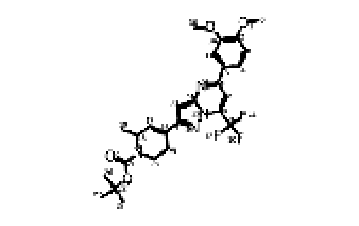 COc1ccc(-c2cc(C(F)(F)F)n3nc(C4=CC(C)N(C(=O)OC(C)(C)C)CC4)cc3n2)cc1OC